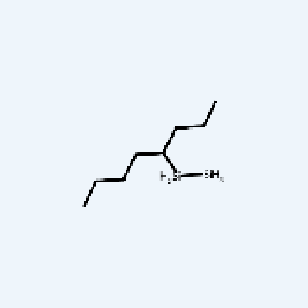 CCCCC(CCC)[SiH2][SiH3]